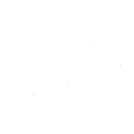 CCCN(c1ccncc1)n1ccc2cc(CCCCNC(=O)O)ccc21